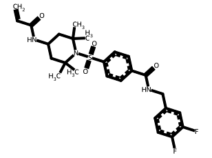 C=CC(=O)NC1CC(C)(C)N(S(=O)(=O)c2ccc(C(=O)NCc3ccc(F)c(F)c3)cc2)C(C)(C)C1